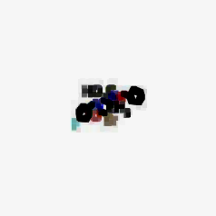 CC(CN(Cc1ccc(F)cc1)C(=O)CBr)N(OCc1ccccc1)C(=O)O